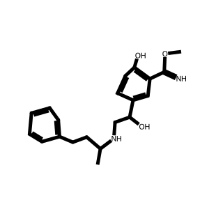 COC(=N)c1cc(C(O)CNC(C)CCc2ccccc2)ccc1O